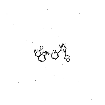 O=C1N=Cc2cccc(Nc3cccc(-c4nncn4C4COC4)n3)c21